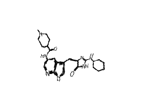 CN1CCC(C(=O)Nc2cnc3[nH]cc(/C=C4/N=C(NC5CCCCC5)NC4=O)c3c2)CC1